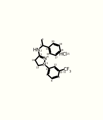 CC(NC1=NN(c2cccc(C(F)(F)F)c2)CC1)c1ccccc1.Cl